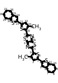 Cc1cc(-c2cc3ccccc3s2)sc1-c1nc2sc(-c3sc(-c4cc5ccccc5s4)cc3C)nc2s1